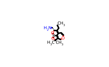 CCCC1=C2C=COCC3=C2B(O[C@@H]1CN)OC3(C)C